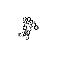 CCC(C)CN([C@H](CO)CCCCNC(=O)N(Cc1ccccc1)Cc1ccc2c(c1)OCO2)S(=O)(=O)c1ccc(N)cc1